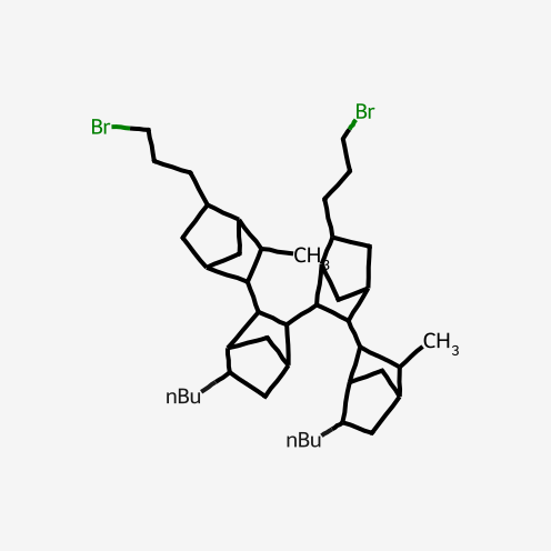 CCCCC1CC2CC1C(C1C3CC(CCCBr)C(C3)C1C1C3CC(CCCC)C(C3)C1C1C3CC(CCCBr)C(C3)C1C)C2C